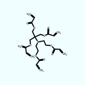 C=CC(=C)OCC(COC(=O)C=C)(COC(=O)C=C)N(CCOC(=O)C=C)CCOC(=O)C=C